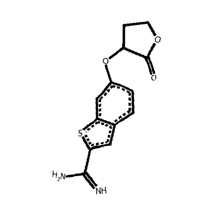 N=C(N)c1cc2ccc(OC3CCOC3=O)cc2s1